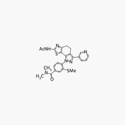 CSc1cc(C(=O)N(C)C)ccc1-n1nc(-c2cccnc2)c2c1-c1sc(NC(C)=O)nc1CC2